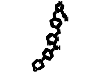 N#Cc1cncn1Cc1ccc(Sc2ccnc(Nc3ccc(N4CCOCC4)cc3)n2)cc1